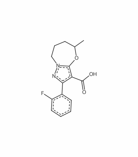 CC1CCCn2nc(-c3ccccc3F)c(C(=O)O)c2O1